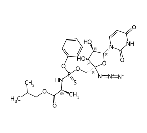 CC(C)COC(=O)[C@H](C)NP(=S)(OC[C@@]1(N=[N+]=[N-])O[C@@H](n2ccc(=O)[nH]c2=O)[C@H](O)[C@@H]1O)Oc1ccccc1